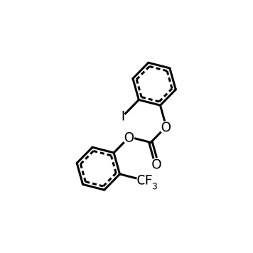 O=C(Oc1ccccc1I)Oc1ccccc1C(F)(F)F